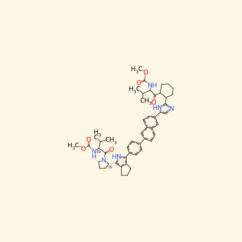 COC(=O)NC(C(=O)C1CCCCC1c1ncc(-c2ccc3cc(-c4ccc(-c5[nH]c([C@@H]6CCCN6C(=O)[C@@H](NC(=O)OC)C(C)C)c6c5CCC6)cc4)ccc3c2)[nH]1)C(C)C